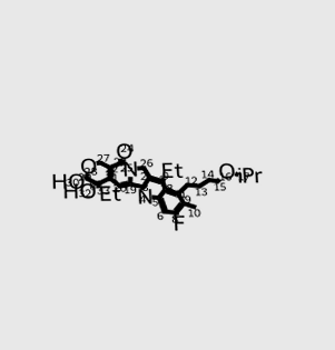 CCc1c2c(nc3cc(F)c(C)c(CCCCOC(C)C)c13)-c1cc3c(c(=O)n1C2)COC(O)[C@]3(O)CC